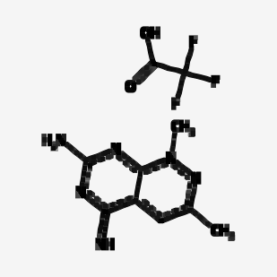 Cc1cc2c(=N)nc(N)nc-2n(C)n1.O=C(O)C(F)(F)F